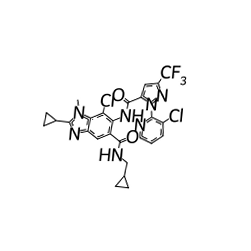 Cn1c(C2CC2)nc2cc(C(=O)NCC3CC3)c(NC(=O)c3cc(C(F)(F)F)nn3-c3ncccc3Cl)c(Cl)c21